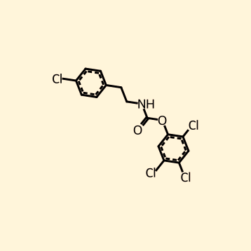 O=C(NCCc1ccc(Cl)cc1)Oc1cc(Cl)c(Cl)cc1Cl